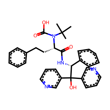 CC(C)(C)N(C(=O)O)[C@@H](CCc1ccccc1)C(=O)N[C@H](c1ccccc1)C(O)(c1cccnc1)c1cccnc1